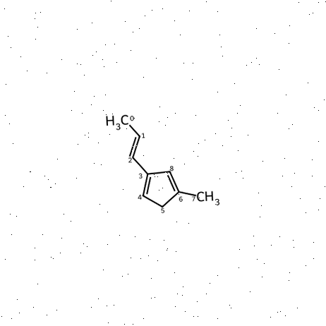 CC=CC1=CCC(C)=C1